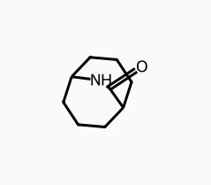 O=C1NC2CCCC1CCC2